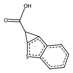 O=C(O)C1c2sc3ccccc3c21